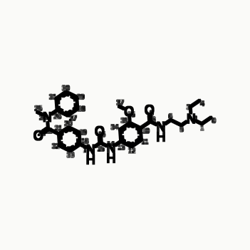 CCN(CC)CCNC(=O)c1ccc(NC(=O)Nc2ccc(C(=O)N(C)c3ccccc3)cc2)cc1OC